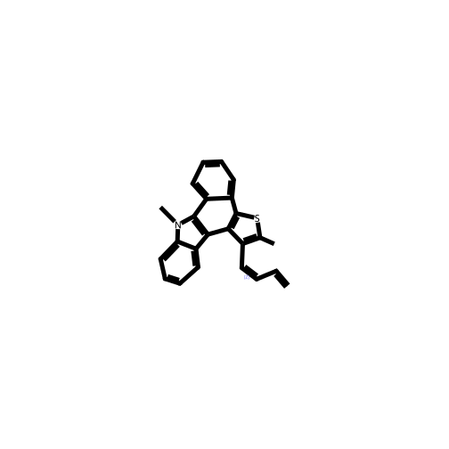 C=C/C=C\c1c(C)sc2c3ccccc3c3c(c4ccccc4n3C)c12